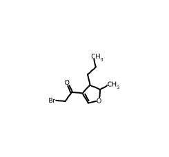 CCCC1C(C(=O)CBr)=COC1C